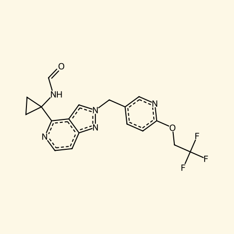 O=CNC1(c2nccc3nn(Cc4ccc(OCC(F)(F)F)nc4)cc23)CC1